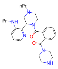 CCCN1CCN(C(=O)c2ccccc2C(=O)N2CCNCC2)C(c2ncccc2NC(C)C)C1